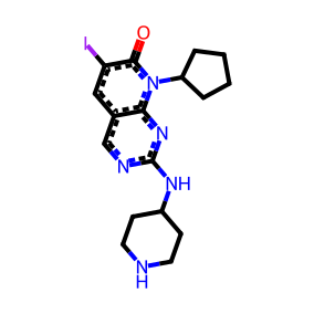 O=c1c(I)cc2cnc(NC3CCNCC3)nc2n1C1CCCC1